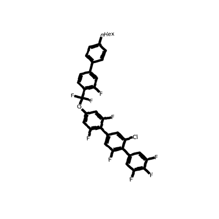 CCCCCCc1ccc(-c2ccc(C(F)(F)Oc3cc(F)c(-c4cc(F)c(-c5cc(F)c(F)c(F)c5)c(Cl)c4)c(F)c3)c(F)c2)cc1